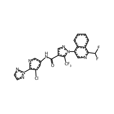 O=C(Nc1cnc(-n2nccn2)c(Cl)c1)c1cnn(-c2cnc(C(F)F)c3ccccc23)c1C(F)(F)F